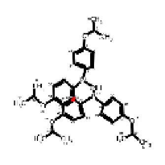 CC(C)Oc1ccc(P(NP(c2ccc(OC(C)C)cc2)c2ccc(OC(C)C)cc2)c2ccc(OC(C)C)cc2)cc1